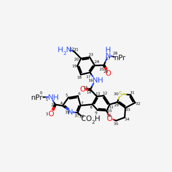 CCCNC(=O)c1ccc(-c2cc3c(cc2C(=O)Nc2ccc(CN)cc2C(=O)NCCC)-c2sccc2CCO3)c(C(=O)O)n1